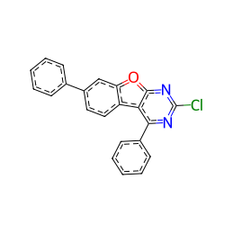 Clc1nc(-c2ccccc2)c2c(n1)oc1cc(-c3ccccc3)ccc12